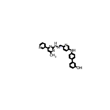 Cc1cc(-c2cccnc2)nc(N/N=C/c2ccc(Nc3ccc(-c4cccc(O)c4)cc3)cn2)n1